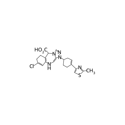 Cc1nc(C2=CCC(N3N=CN4C3=CNC3=C(CCC(Cl)=C3)C4C(=O)O)CC2)cs1